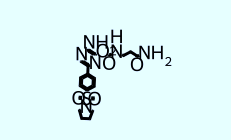 NC(=O)CCNC(=O)Oc1nc(-c2ccc(S(=O)(=O)N3CCCC3)cc2)cnc1N